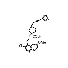 COc1ccc2ncc(Cl)c(CCCC3(C(=O)O)CCN(CC#Cc4ccsc4)CC3)c2c1